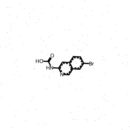 O=C(O)Nc1cc2ccc(Br)cc2cn1